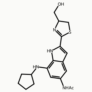 CC(=O)Nc1cc(NC2CCCC2)c2[nH]c(C3=NC(CO)CS3)cc2c1